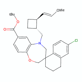 CO/C=C/[C@@H]1CC[C@H]1CN1CC2(CCCc3cc(Cl)ccc32)COc2ccc(C(=O)OC(C)(C)C)cc21